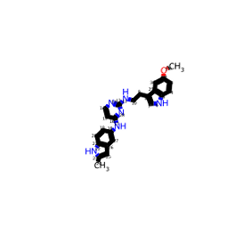 COc1ccc2[nH]cc(CCNc3nccc(Nc4ccc5[nH]c(C)cc5c4)n3)c2c1